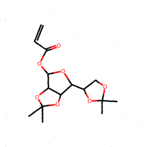 C=CC(=O)OC1OC(C2COC(C)(C)O2)C2OC(C)(C)OC12